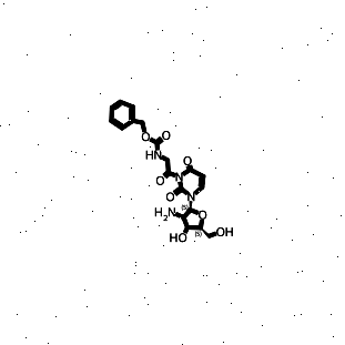 NC1C(O)[C@H](CO)O[C@@H]1n1ccc(=O)n(C(=O)CNC(=O)OCc2ccccc2)c1=O